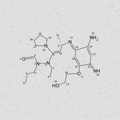 CCCN(C=O)N(CC)/C(=C/[C@H](C)/N=C1\C=C(OCCO)C(=N)C=C1N)N1CCCC1